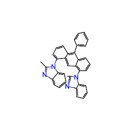 Cc1nc2ccccc2n1-c1cccc2c(-c3ccccc3)c3cccc(-n4c(C)nc5ccccc54)c3cc12